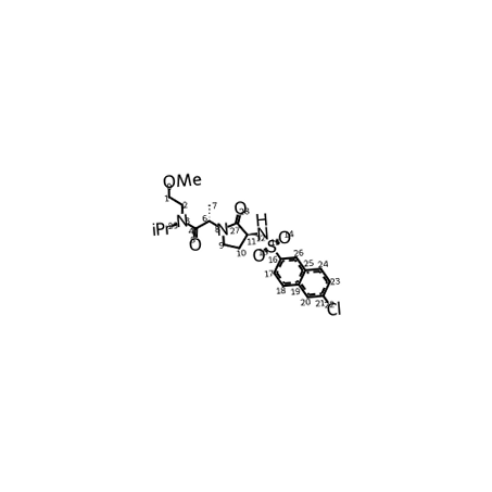 COCCN(C(=O)[C@H](C)N1CC[C@H](NS(=O)(=O)c2ccc3cc(Cl)ccc3c2)C1=O)C(C)C